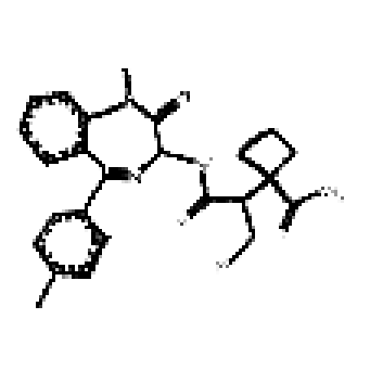 Cc1ccc(C2=NC(NC(=O)C(CC(C)C)C3(C(N)=O)CCC3)C(=O)N(C)c3ccccc32)cc1